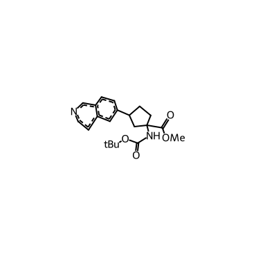 COC(=O)C1(NC(=O)OC(C)(C)C)CCC(c2ccc3cnccc3c2)C1